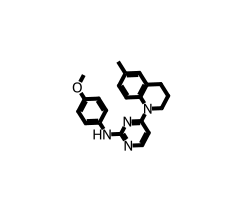 COc1ccc(Nc2nccc(N3CCCc4cc(C)ccc43)n2)cc1